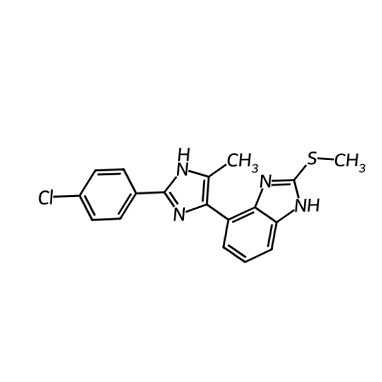 CSc1nc2c(-c3nc(-c4ccc(Cl)cc4)[nH]c3C)cccc2[nH]1